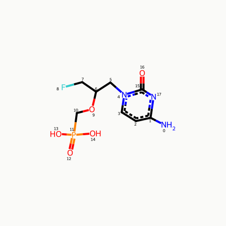 Nc1ccn(CC(CF)OCP(=O)(O)O)c(=O)n1